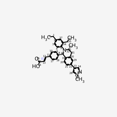 CCc1ccc(N2[C@H](c3ccc(/C=C/C(=O)O)cc3)c3ccc(-c4cnn(C)c4)cc3C[C@H]2C)c(CC)c1